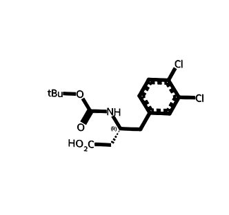 CC(C)(C)OC(=O)N[C@@H](CC(=O)O)Cc1ccc(Cl)c(Cl)c1